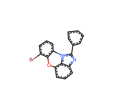 Brc1cccc2c1Oc1cccc3nc(-c4ccccc4)n-2c13